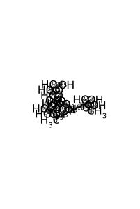 CC(=O)CCCCCN(CCCC[C@@H]1O[C@@H](C)[C@@H](O)[C@@H](O)[C@@H]1O)CCO[C@H]1O[C@H](CO[C@H]2O[C@H](CO)[C@@H](O)[C@H](O)[C@@H]2O)[C@@H](O)[C@H](O[C@H]2O[C@H](CO)[C@@H](O)[C@H](O)[C@@H]2O)[C@@H]1O